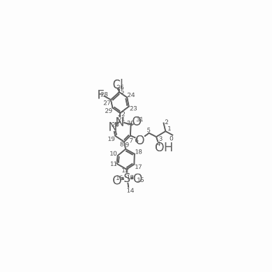 CC(C)C(O)COc1c(-c2ccc(S(C)(=O)=O)cc2)cnn(-c2ccc(Cl)c(F)c2)c1=O